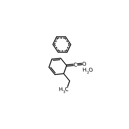 CCC1C=CC=CC1=C=O.O.c1ccccc1